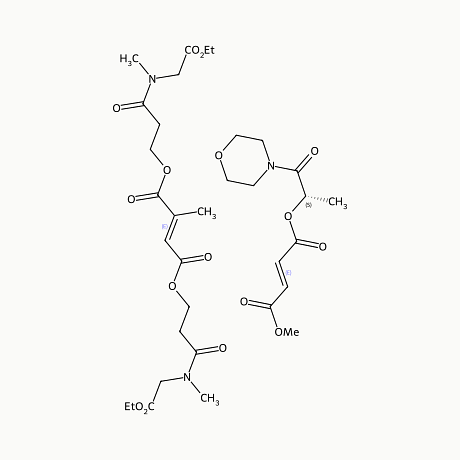 CCOC(=O)CN(C)C(=O)CCOC(=O)/C=C(\C)C(=O)OCCC(=O)N(C)CC(=O)OCC.COC(=O)/C=C/C(=O)O[C@@H](C)C(=O)N1CCOCC1